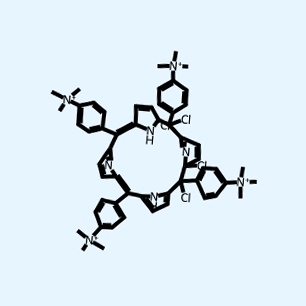 C[N+](C)(C)c1ccc(C2=C3C=CC(Cl)(N3)C(Cl)(c3ccc([N+](C)(C)C)cc3)C3=NC(Cl)(C=C3)C(Cl)(c3ccc([N+](C)(C)C)cc3)c3ccc([nH]3)C(c3ccc([N+](C)(C)C)cc3)=C3C=CC2=N3)cc1